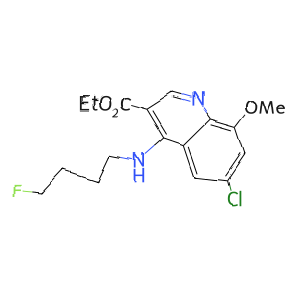 CCOC(=O)c1cnc2c(OC)cc(Cl)cc2c1NCCCCF